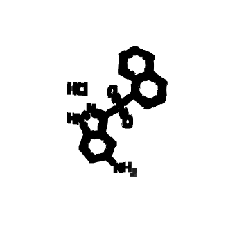 Cl.Nc1ccc2[nH]nc(S(=O)(=O)c3cccc4ccccc34)c2c1